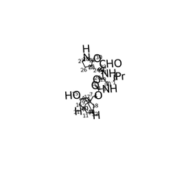 CC(C)C[C@H](NC(=O)OCC12C[C@@H]3C[C@@H](CC(O)(C3)C1)C2)C(=O)N[C@H](C=O)C[C@@H]1CCNC1=O